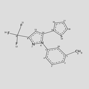 Cc1cccc(-n2nc(C(F)(F)F)cc2-c2cccs2)c1